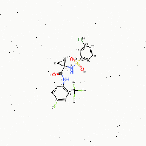 O=C(Nc1ccc(F)cc1C(F)(F)F)C1(NS(=O)(=O)c2cccc(Cl)c2)CC1